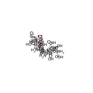 CCCC[C@@H](C(=O)N1C[C@H](O)C[C@@H]1C(=O)N[C@@H](CC(=O)O)C(=O)N[C@H](C(=O)N(C)[C@H](C=O)Cc1ccccc1)C(C)C)N(C)C(=O)[C@H](Cc1ccccc1)N(C)C(=O)[C@H](Cc1cc(F)c(F)c(F)c1)NC(=O)CSC[C@H](NC(=O)[C@H](CN)NC(=O)[C@H](Cc1ccc(O)cc1)NC(=O)[C@H](Cc1c[nH]c2ccccc12)NC(=O)[C@H]1C[C@@H](O)CN1C(=O)[C@@H](N)CCC(=O)O)C(=O)NCC(N)=O